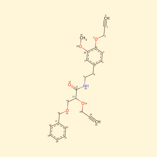 C#CCOc1ccc(CCNC(=O)C(COCc2ccccc2)OCC#C)cc1OC